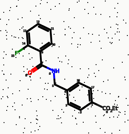 CCOC(=O)c1ccc(CNC(=O)c2ccccc2F)cc1